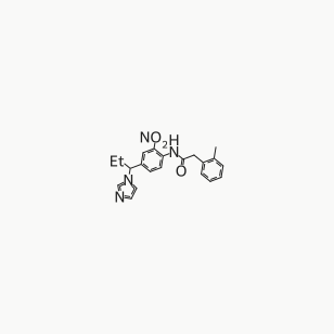 CCC(c1ccc(NC(=O)Cc2ccccc2C)c([N+](=O)[O-])c1)n1ccnc1